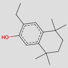 CCc1cc2c(cc1O)C(C)(C)CCC2(C)C